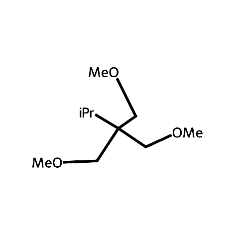 COCC(COC)(COC)C(C)C